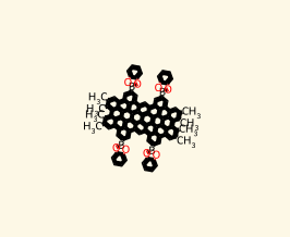 Cc1cc2c3cc(B4Oc5ccccc5O4)cc4c5cc6c7cc(B8Oc9ccccc9O8)cc8c9cc(C)c(C)c%10c%11c(C)c(C)cc%12c%13cc(B%14Oc%15ccccc%15O%14)cc%14c%15cc%16c%17cc(B%18Oc%19ccccc%19O%18)cc%18c%19cc(C)c(C)c%20c(c1C)c2c1c(c34)c2c5c3c6c4c(c87)c(c9%10)c(c%12%11)c(c%13%14)c4c%15c3c%16c2c(c%18%17)c1c%19%20